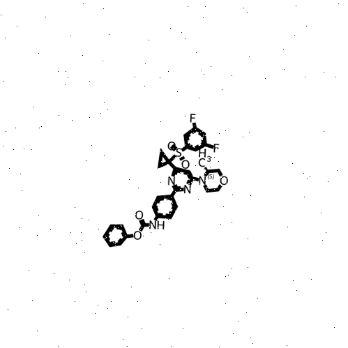 C[C@H]1COCCN1c1cc(C2(S(=O)(=O)c3cc(F)cc(F)c3)CC2)nc(-c2ccc(NC(=O)Oc3ccccc3)cc2)n1